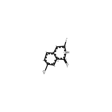 O=c1[nH]c(I)cc2ccc(Cl)cc12